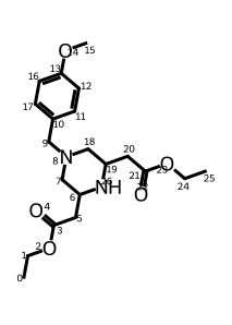 CCOC(=O)CC1CN(Cc2ccc(OC)cc2)CC(CC(=O)OCC)N1